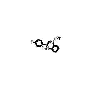 CC(C)N1CC(c2ccc(F)cc2)Nc2ccccc21